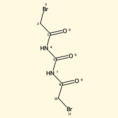 O=C(CBr)NC(=O)NC(=O)CBr